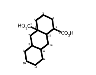 O=C(O)C1CCCC2(C(=O)O)CC3CCCCC3CC12